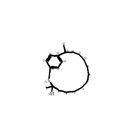 CCC1(C)CCCCCCCCCCC(C)c2ccc(cc2)S1